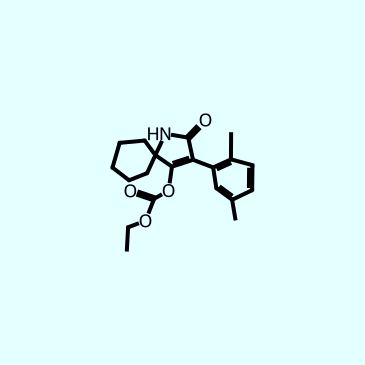 CCOC(=O)OC1=C(c2cc(C)ccc2C)C(=O)NC12CCCCC2